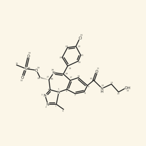 Cc1nnc2n1-c1ccc(C(=O)NCCO)cc1C(c1ccc(Cl)cc1)=N[C@H]2COS(C)(=O)=O